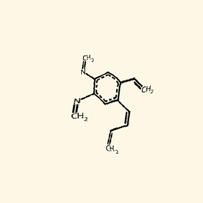 C=C/C=C\c1cc(N=C)c(N=C)cc1C=C